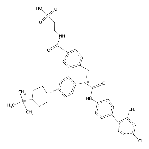 Cc1cc(Cl)ccc1-c1ccc(NC(=O)[C@@H](Cc2ccc(C(=O)NCCS(=O)(=O)O)cc2)c2ccc([C@H]3CC[C@@H](C(C)(C)C)CC3)cc2)cc1